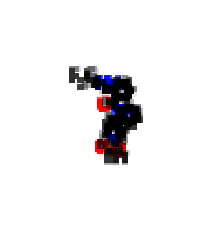 CCCS(=O)(=O)N1CCC(CNC(=O)c2ccccc2CNCC(F)(F)F)(c2ccccc2)CC1